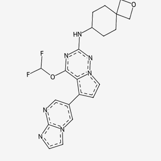 FC(F)Oc1nc(NC2CCC3(CC2)COC3)nn2ccc(-c3cnc4nccn4c3)c12